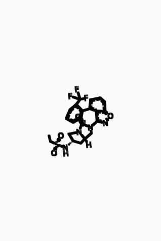 CCS(=O)(=O)N[C@H]1C[C@H]2CN(c3noc4cccc(-c5c(F)cccc5C(F)(F)F)c34)C(=O)N2C1